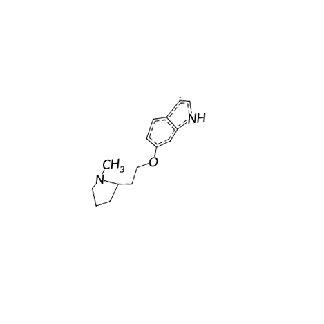 CN1CCCC1CCOc1ccc2[c]c[nH]c2c1